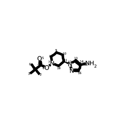 CC(C)(C)C(=O)ON1CCC[C@@H](n2cc(N)cn2)C1